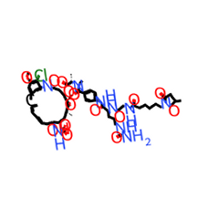 COc1cc2cc(c1Cl)N(C)C(=O)C[C@H](OC(=O)[C@H](C)N(C)C(=O)c1ccc(NC(=O)C(CCCNC(N)=O)NC(=O)CNC(=O)CCCCCN3C(=O)CC(C)C3=O)cc1)[C@]1(C)OC1[C@H](C)C1C[C@](O)(C/C=C/C=C(\C)C2)NC(=O)O1